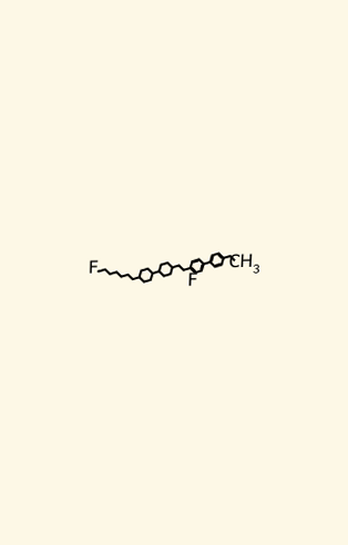 CCc1ccc(-c2ccc(CCC3CCC(C4CCC(CCCCCCCF)CC4)CC3)c(F)c2)cc1